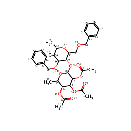 CC(=O)OC1C(OC(C)=O)[C@@H](OC(C)=O)C(C)O[C@H]1O[C@H]1C(COCc2ccccc2)O[C@H](C)C(C)C1OCc1ccccc1